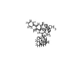 [2H]C([2H])([2H])N(C(=O)N1CC2(CC2)[C@H](NS(C)(=O)=O)[C@@H]1Cc1cc(F)cc(-c2ccccc2)c1F)C([2H])([2H])[2H]